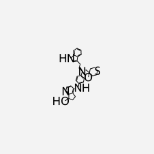 OC1CCc2c(Nc3ccc4c(c3)OC3(CCSCC3)CN4CCc3c[nH]c4ccccc34)ccnc21